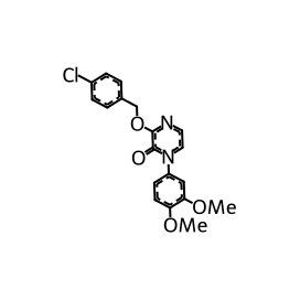 COc1ccc(-n2ccnc(OCc3ccc(Cl)cc3)c2=O)cc1OC